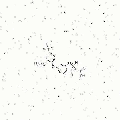 COc1cc(C(F)(F)F)ccc1OC1=CCC2C(=C1)O[C@H]1[C@H](C(=O)O)[C@@H]21